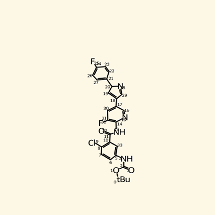 CC(C)(C)OC(=O)Nc1ccc(Cl)c(C(=O)Nc2ncc(C3=CC(c4ccc(F)cc4)N=C3)cc2F)c1